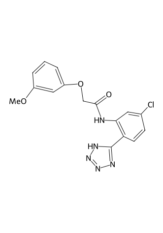 COc1cccc(OCC(=O)Nc2cc(Cl)ccc2-c2nnn[nH]2)c1